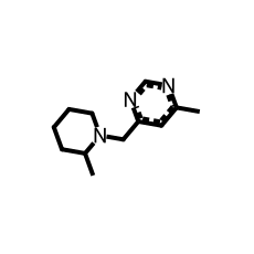 Cc1cc(CN2CCCCC2C)ncn1